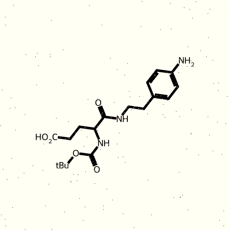 CC(C)(C)OC(=O)NC(CCC(=O)O)C(=O)NCCc1ccc(N)cc1